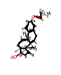 C[C@]12CC[C@H]3C(=CCc4cc(OCC(=O)O)ccc43)[C@@H]1CC[C@H]2O